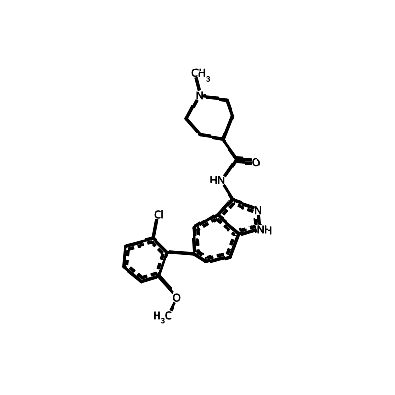 COc1cccc(Cl)c1-c1ccc2[nH]nc(NC(=O)C3CCN(C)CC3)c2c1